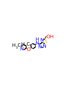 Cc1ccc(Oc2ccc(Nc3ncnc4sc(CO)nc34)cc2C)cn1